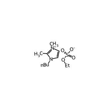 CCCCn1cc[n+](C)c1C.CCOS(=O)(=O)[O-]